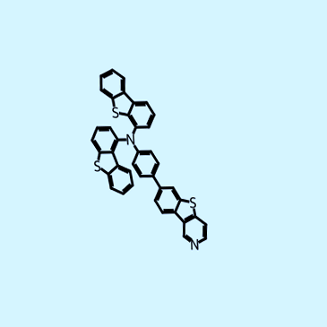 c1ccc2c(c1)sc1c(N(c3ccc(-c4ccc5c(c4)sc4ccncc45)cc3)c3cccc4sc5ccccc5c34)cccc12